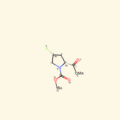 COC(=O)[C@H]1C[C@@H](F)CN1C(=O)OC(C)(C)C